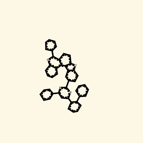 c1ccc(-c2cc(-c3ccccc3-c3ccccc3)nc(-c3ccc4oc5ccc6c(-c7ccccc7)nc7ccccc7c6c5c4c3)n2)cc1